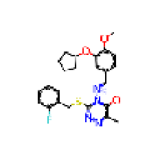 COc1ccc(/C=N/n2c(SCc3ccccc3F)nnc(C)c2=O)cc1OC1CCCC1